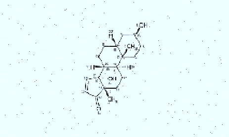 C[C@]12CC[C@H](O)C[C@H]1CC[C@@H]1[C@@H]2CC[C@]2(C)C(=O)C=C[C@@]12O